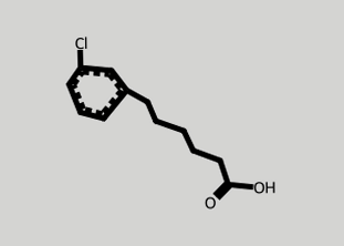 O=C(O)CCCCCc1cccc(Cl)c1